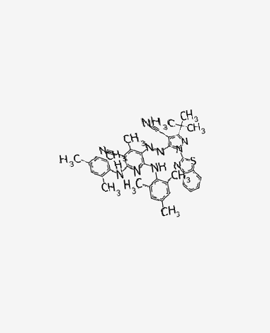 Cc1cc(C)c(Nc2nc(Nc3c(C)cc(C)cc3C)c(N=Nc3c(C#N)c(C(C)(C)C)nn3-c3nc4ccccc4s3)c(C)c2C#N)c(C)c1